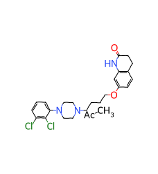 CC(C)=O.O=C1CCc2ccc(OCCCCN3CCN(c4cccc(Cl)c4Cl)CC3)cc2N1